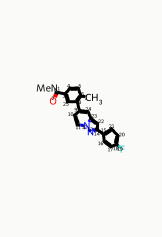 CNC(=O)c1ccc(C)c(-c2ccn3nc(-c4ccc(F)cc4)cc3c2)c1